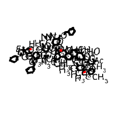 CCC1O[C@@H](OC2[C@H](O[C@H]3CCC4(C)C5CC=C6C7CC(C)(C)CC[C@]7(C(=O)O[C@@H]7OC(COCc8ccccc8)[C@H](N=[N+]=[N-])C(C)C7O[C@@H]7OC(C)[C@H](O[C@@H]8OC[C@@H](OCc9ccccc9)C(O[C@@]9%10COCC9(CC)O[C@@H](c9ccccc9)O%10)C8C)C8OC(C)(C)OC87)C(OC)C[C@@]6(C)[C@@]5(C)CC[C@H]4[C@@]3(C)C=O)OC(C(C)=O)[C@@H](C)[C@@H]2O[C@@H]2OC[C@@H](C)[C@H](C)C2C)C(C)[C@@H](C)[C@H]1C